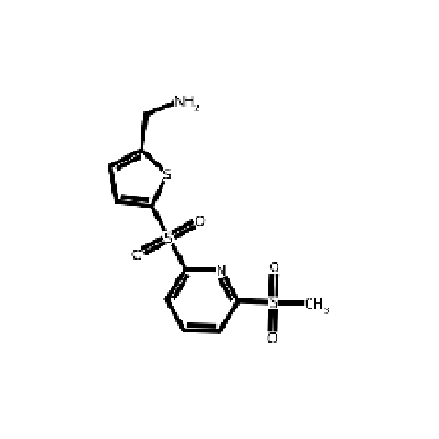 CS(=O)(=O)c1cccc(S(=O)(=O)c2ccc(CN)s2)n1